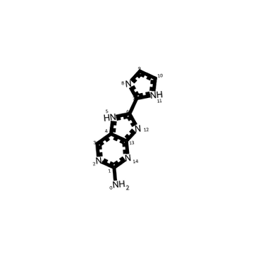 Nc1ncc2[nH]c(-c3ncc[nH]3)nc2n1